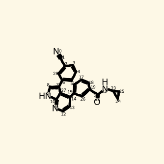 N#Cc1cccc(-c2c[nH]c3nccc(-c4cccc(C(=O)NC5CC5)c4)c23)c1